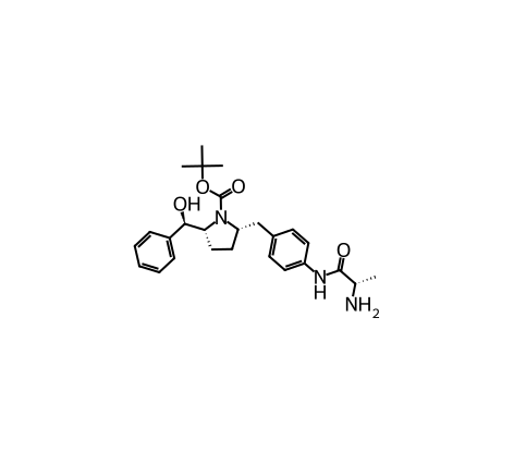 C[C@H](N)C(=O)Nc1ccc(C[C@@H]2CC[C@H]([C@H](O)c3ccccc3)N2C(=O)OC(C)(C)C)cc1